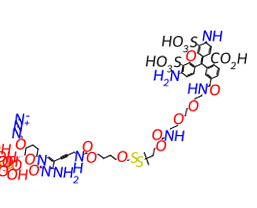 CC(C)(CCOC(=O)NCCOCCOCCNC(=O)c1ccc(C(=O)O)c(-c2c3ccc(=N)c(S(=O)(=O)O)c-3oc3c(S(=O)(=O)O)c(N)ccc23)c1)SSCOCCCCOC(=O)NCC#Cc1cn([C@H]2CCC(OCN=[N+]=[N-])[C@@H](COP(=O)(O)OP(=O)(O)OP(=O)(O)O)O2)c(=O)nc1N